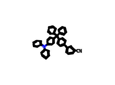 N#Cc1cccc(-c2ccc(C(c3ccccc3)(c3ccccc3)c3ccc(N(c4ccccc4)c4ccccc4)cc3)cc2)c1